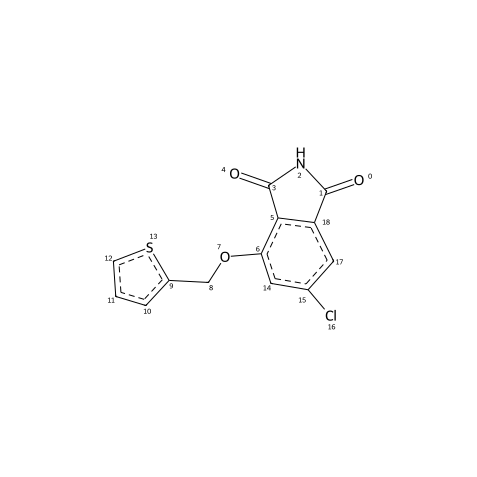 O=C1NC(=O)c2c(OCc3cccs3)cc(Cl)cc21